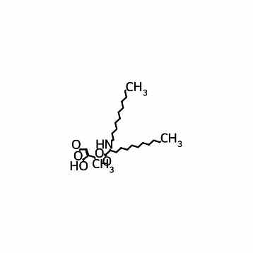 CCCCCCCCCCCNC(CCCCCCCCCC)C(=O)OC(C)C1=CC(=O)OC1O